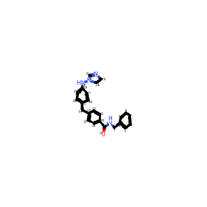 O=C(NCc1ccccc1)c1ccc(Cc2ccc(NN3C=NCC3)cc2)cc1